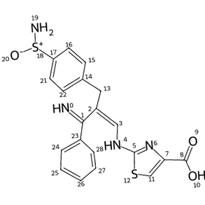 N=C(/C(=C\Nc1nc(C(=O)O)cs1)Cc1ccc([S+](N)[O-])cc1)c1ccccc1